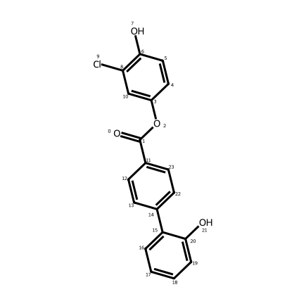 O=C(Oc1ccc(O)c(Cl)c1)c1ccc(-c2ccccc2O)cc1